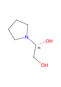 OC[C@@H](O)N1CCCC1